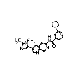 Cc1ncc(-c2cnc3cnc(NC(=O)c4ccnc(N5CCCC5)c4)cc3c2)n1C